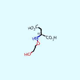 O=C(O)C[C@H](NOCCO)C(=O)O